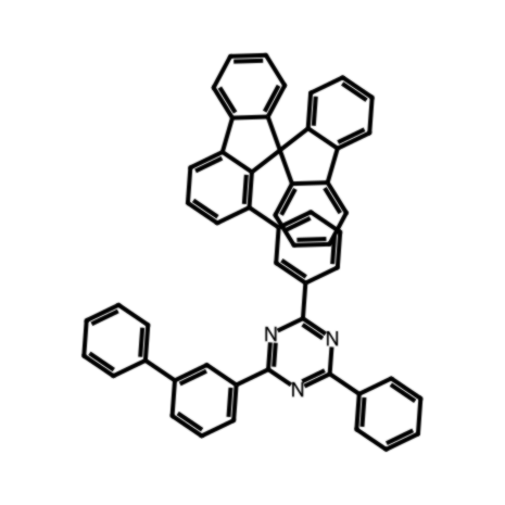 c1ccc(-c2cccc(-c3nc(-c4ccccc4)nc(-c4cccc(-c5cccc6c5C5(c7ccccc7-c7ccccc75)c5ccccc5-6)c4)n3)c2)cc1